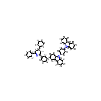 c1ccc(-c2cc(-c3ccccc3)nc(-c3cccc(-c4ccc5c(c4)c4ccccc4n5-c4ccc(-n5c6ccccc6c6ccccc65)cc4)c3)c2)cc1